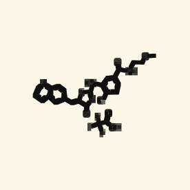 COCCNC(=O)c1ccc(Cl)c(NC2=NC(=O)/C(=C/c3ccc4ncccc4c3)S2)c1.O=C(O)C(F)(F)F